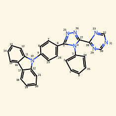 c1ccc(-n2c(-c3ccc(-n4c5ccccc5c5ccccc54)cc3)nnc2-c2ncncn2)cc1